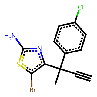 C#CC(C)(c1ccc(Cl)cc1)c1nc(N)sc1Br